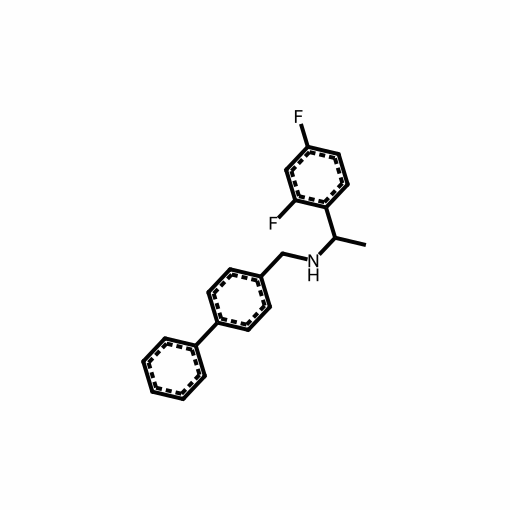 CC(NCc1ccc(-c2ccccc2)cc1)c1ccc(F)cc1F